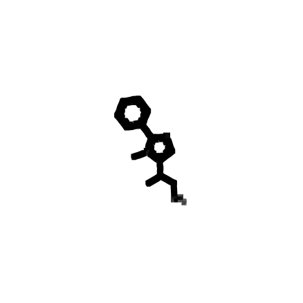 CC(CN)c1cnc(-c2ccccc2)n1C